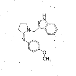 COc1ccc(/N=C2/CCCN2Cc2c[nH]c3ccccc23)cc1